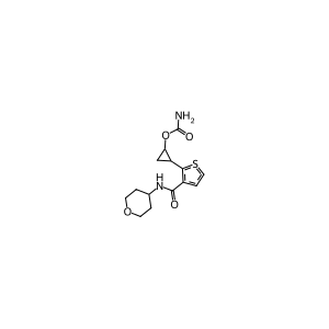 NC(=O)OC1CC1c1sccc1C(=O)NC1CCOCC1